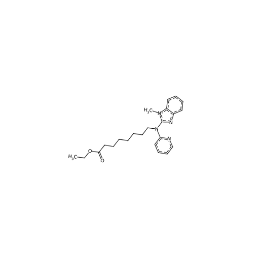 CCOC(=O)CCCCCCCN(c1ccccn1)c1nc2ccccc2n1C